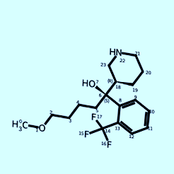 COCCCC[C@@](O)(c1ccccc1C(F)(F)F)[C@@H]1CCCNC1